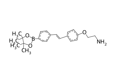 CC1(C)OB(c2ccc(C=Cc3ccc(OCCN)cc3)cc2)OC1(C)C